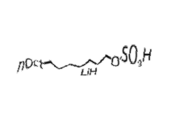 CCCCCCCCCCCCCCCOS(=O)(=O)O.[LiH]